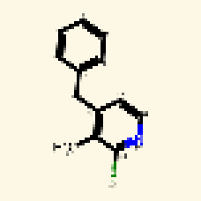 Cc1c(Cc2ccccc2)ccnc1Br